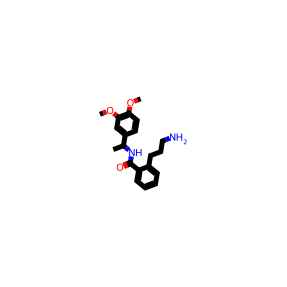 COc1ccc(C(C)NC(=O)c2ccccc2CCCN)cc1OC